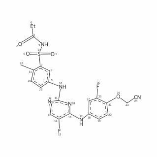 CCC(=O)NS(=O)(=O)c1cc(Nc2ncc(F)c(Nc3ccc(OCC#N)c(F)c3)n2)ccc1C